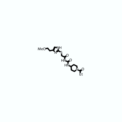 CCC(=O)N1CCC(NC(=O)NC(=O)CSc2nc(CCOC)c[nH]2)CC1